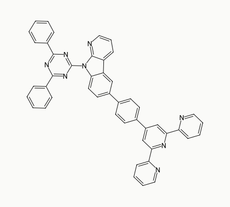 c1ccc(-c2nc(-c3ccccc3)nc(-n3c4ccc(-c5ccc(-c6cc(-c7ccccn7)nc(-c7ccccn7)c6)cc5)cc4c4cccnc43)n2)cc1